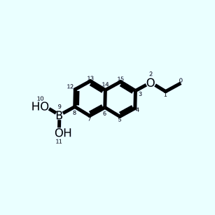 CCOc1ccc2cc(B(O)O)ccc2c1